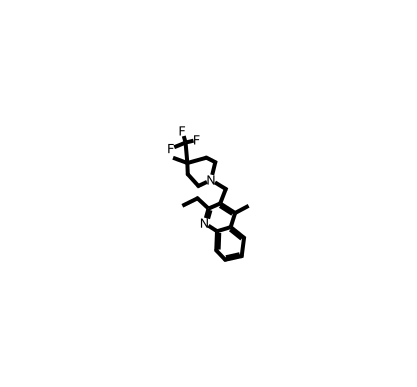 CCc1nc2ccccc2c(C)c1CN1CCC(C)(C(F)(F)F)CC1